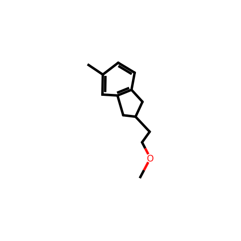 COCCC1Cc2ccc(C)cc2C1